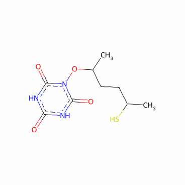 CC(S)CCC(C)On1c(=O)[nH]c(=O)[nH]c1=O